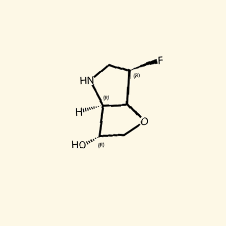 O[C@H]1COC2[C@H](F)CN[C@@H]21